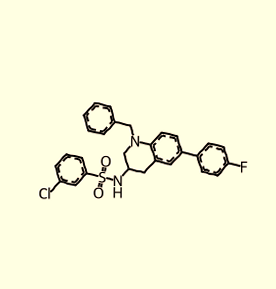 O=S(=O)(NC1Cc2cc(-c3ccc(F)cc3)ccc2N(Cc2ccccc2)C1)c1cccc(Cl)c1